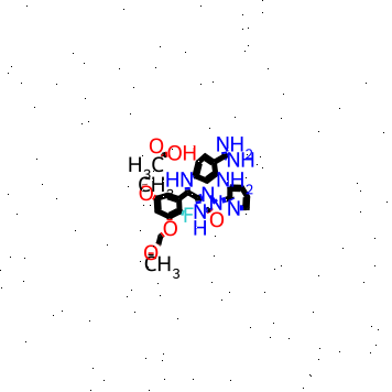 CC(=O)O.COCCOc1cc(OC)cc(C(Nc2ccc(C(=N)N)cc2)c2nn(-c3ncccc3N)c(=O)[nH]2)c1F